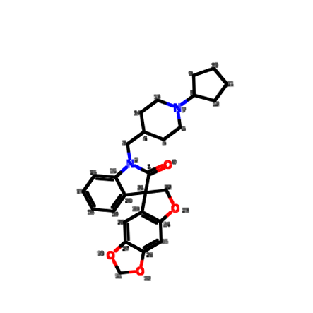 O=C1N(CC2CCN(C3CCCC3)CC2)c2ccccc2C12COc1cc3c(cc12)OCO3